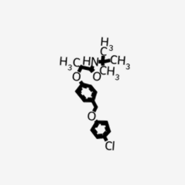 CC(Oc1ccc(COc2ccc(Cl)cc2)cc1)C(=O)NC(C)(C)C